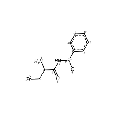 CC(C)CC(N)C(=O)N[S+]([O-])c1ccccc1